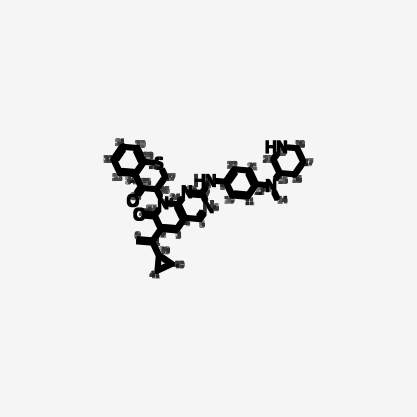 C=C(c1cc2cnc(Nc3ccc(N(C)C4CCCNC4)cc3)nc2n(C2CSc3ccccc3C2=O)c1=O)C1CC1